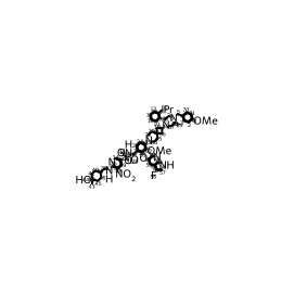 COc1ccc(CN2C[C@@H](c3ccccc3C(C)C)N(C3CC4(CCN(c5ccc(C(=O)NS(=O)(=O)c6cnc(NCC7CCC(C)(O)CC7)c([N+](=O)[O-])c6)c(Oc6cc7c(F)c[nH]c7nc6OC)c5)CC4)C3)C[C@@H]2C)cc1